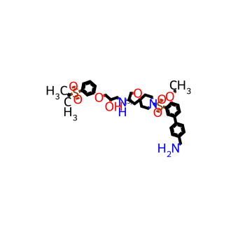 CCOc1ccc(-c2ccc(CN)cc2)cc1S(=O)(=O)N1CCC2(CC1)C[C@H](NCC(O)COc1cccc(S(=O)(=O)C(C)C)c1)CO2